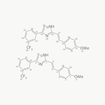 COc1ccc(C=Cc2nc(-c3cccc(C(F)(F)F)c3)c[nH]2)cc1.COc1ccc(C=Cc2nc(-c3cccc(C(F)(F)F)c3)c[nH]2)cc1